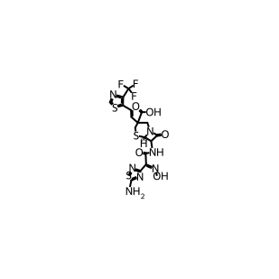 Nc1nc(C(=NO)C(=O)NC2C(=O)N3CC(C=Cc4scnc4C(F)(F)F)(C(=O)O)CS[C@H]23)ns1